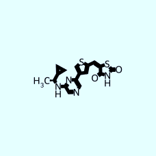 C[C@H](Nc1cncc(-c2csc(C=C3SC(=O)NC3=O)c2)n1)C1CC1